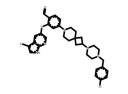 O=Cc1ccc(N2CCC3(CC2)CC(N2CCN(Cc4ccc(Cl)cc4)CC2)C3)cc1Oc1cnc2[nH]cc(Cl)c2c1